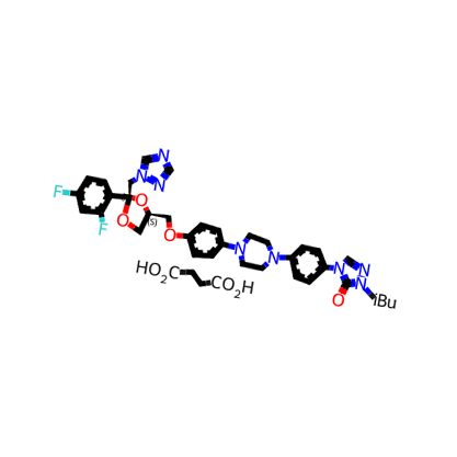 CCC(C)n1ncn(-c2ccc(N3CCN(c4ccc(OC[C@H]5CO[C@](Cn6cncn6)(c6ccc(F)cc6F)O5)cc4)CC3)cc2)c1=O.O=C(O)CCC(=O)O